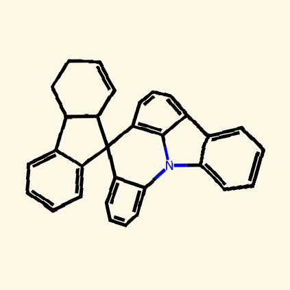 C1=CC2C(CC1)c1ccccc1C21c2ccccc2-n2c3ccccc3c3cccc1c32